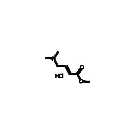 COC(=O)/C=C/CN(C)C.Cl